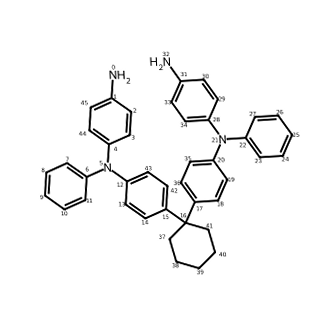 Nc1ccc(N(c2ccccc2)c2ccc(C3(c4ccc(N(c5ccccc5)c5ccc(N)cc5)cc4)CCCCC3)cc2)cc1